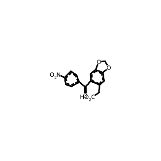 O=C(O)Cc1cc2c(cc1C(=O)c1ccc([N+](=O)[O-])cc1)OCO2